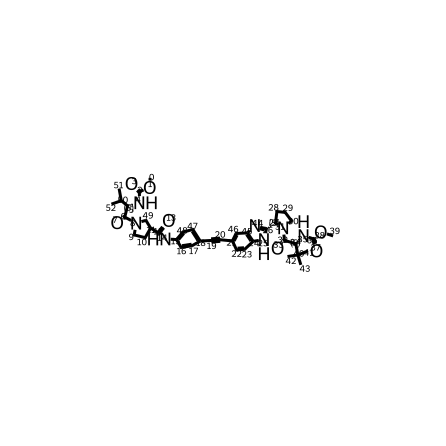 COC(=O)N[C@H](C(=O)N1CCC(C(=O)Nc2ccc(C#Cc3ccc4[nH]c([C@@H]5CCCN5C(=O)[C@@H](NC(=O)OC)C(C)(C)C)nc4c3)cc2)C1)C(C)C